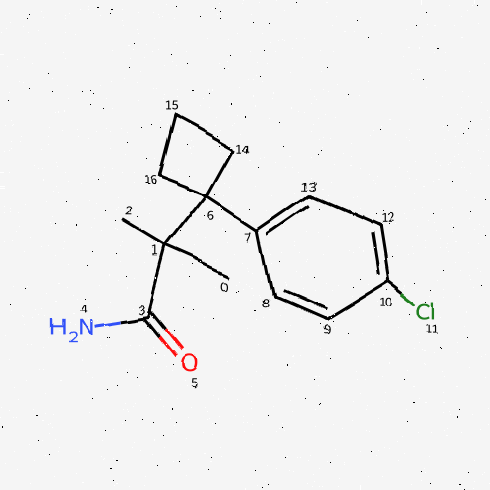 CC(C)(C(N)=O)C1(c2ccc(Cl)cc2)CCC1